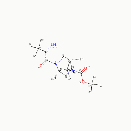 C[C@H]1[C@H]2CN(C(=O)[C@@H](N)C(C)(C)C)[C@@H]1CN2C(=O)OC(C)(C)C